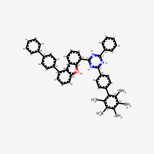 Bc1c(B)c(B)c(-c2ccc(-c3nc(-c4ccccc4)nc(-c4cccc5c4oc4cccc(-c6ccc(-c7ccccc7)cc6)c45)n3)cc2)c(B)c1B